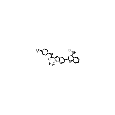 CCNc1cc(-c2ccc3c(c2)cc(C(=O)NC2CCN(C)CC2)n3C)nc2ccncc12